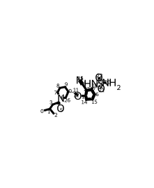 CC(C)CC(=O)N1CCC[C@H](COc2cccc(NS(N)(=O)=O)c2C#N)C1